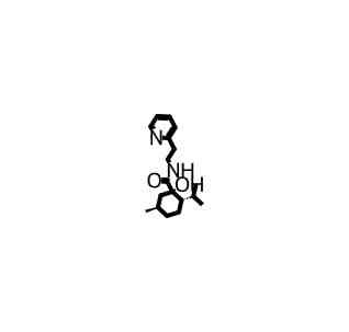 CC(C)[C@@H]1CC[C@@H](C)C[C@@]1(O)C(=O)NCCc1ccccn1